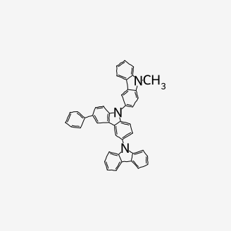 Cn1c2ccccc2c2cc(-n3c4ccc(-c5ccccc5)cc4c4cc(-n5c6ccccc6c6ccccc65)ccc43)ccc21